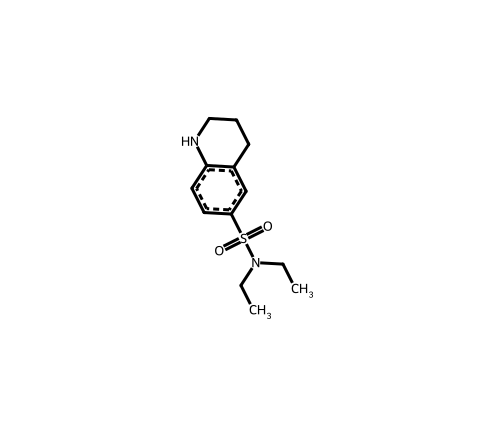 CCN(CC)S(=O)(=O)c1ccc2c(c1)CCCN2